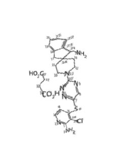 Nc1nccc(Sc2cnc(N3CCC4(CC3)Cc3ccccc3C4N)nn2)c1Cl.O=C(O)CCC(=O)O